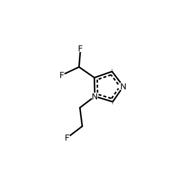 FCCn1[c]n[c]c1C(F)F